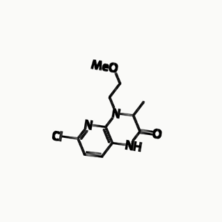 COCCN1c2nc(Cl)ccc2NC(=O)C1C